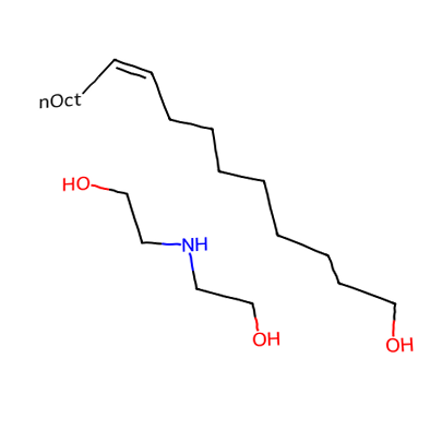 CCCCCCCC/C=C\CCCCCCCCO.OCCNCCO